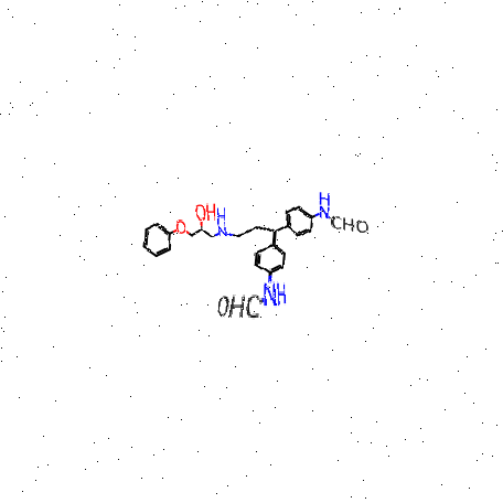 O=CNc1ccc(C(CCNCC(O)COc2ccccc2)c2ccc(NC=O)cc2)cc1